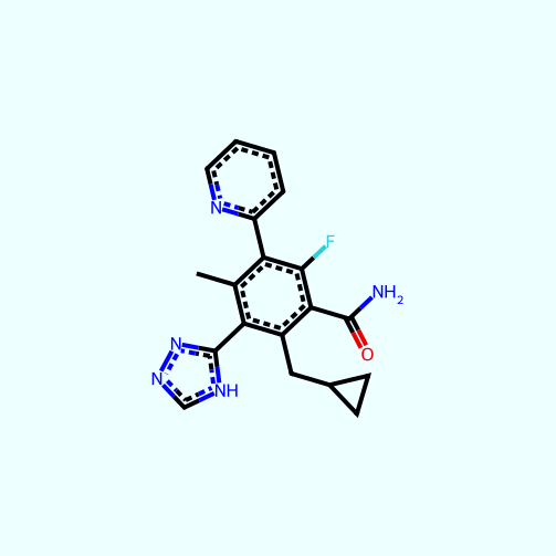 Cc1c(-c2ccccn2)c(F)c(C(N)=O)c(CC2CC2)c1-c1nnc[nH]1